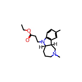 CCOC(=O)CCN1c2ccc(C)cc2[C@@H]2CN(C)CCC[C@@H]21